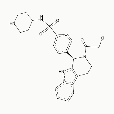 O=C(CCl)N1CCc2c([nH]c3ccccc23)[C@H]1c1ccc(S(=O)(=O)NC2CCNCC2)cc1